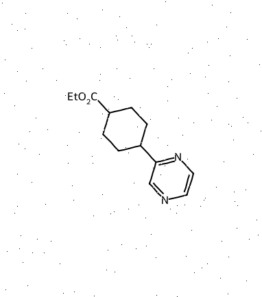 CCOC(=O)C1CCC(c2cnccn2)CC1